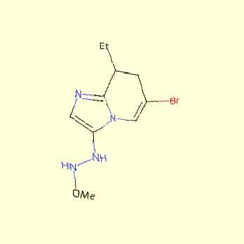 CCC1CC(Br)=Cn2c(NNOC)cnc21